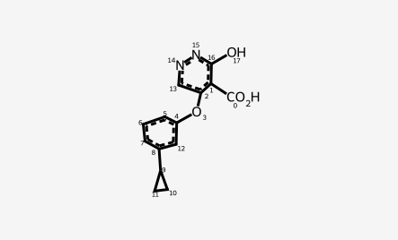 O=C(O)c1c(Oc2cccc(C3CC3)c2)cnnc1O